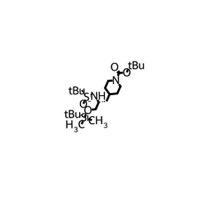 CC(C)(C)OC(=O)N1CCC(C[C@H](CO[Si](C)(C)C(C)(C)C)N[S@@+]([O-])C(C)(C)C)CC1